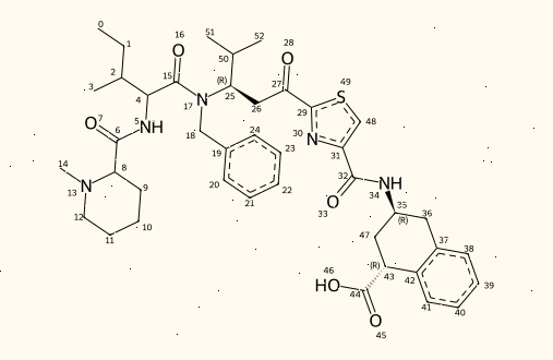 CCC(C)C(NC(=O)C1CCCCN1C)C(=O)N(Cc1ccccc1)[C@H](CC(=O)c1nc(C(=O)N[C@H]2Cc3ccccc3[C@H](C(=O)O)C2)cs1)C(C)C